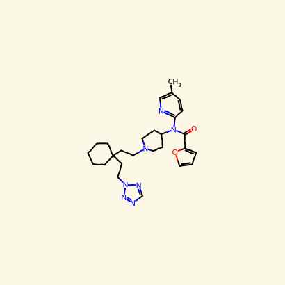 Cc1ccc(N(C(=O)c2ccco2)C2CCN(CCC3(CCn4ncnn4)CCCCC3)CC2)nc1